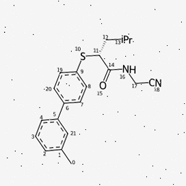 Cc1cccc(-c2ccc(S[C@H](CC(C)C)C(=O)NCC#N)cc2)c1